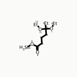 CCOC(CC)(CCCC(=O)O[SiH3])OCC